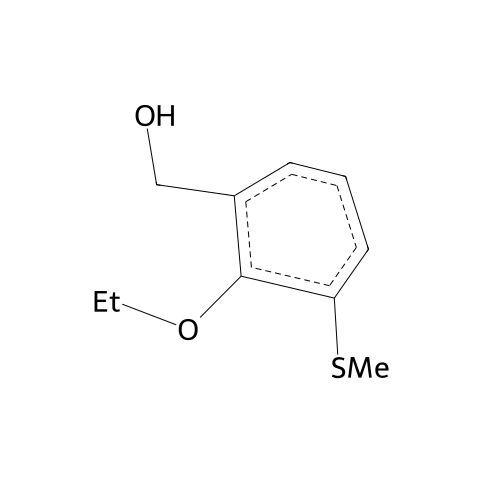 CCOc1c(CO)cccc1SC